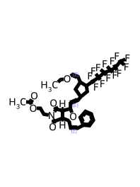 CCO/C=C\C1CC(/C=C/C2OC(/C=C\c3ccccc3)[C@@H]3C(=O)N(CCOC(C)=O)C(=O)[C@H]23)CC1C(F)(F)C(F)(F)C(F)(F)C(F)(F)C(F)(F)C(F)(F)F